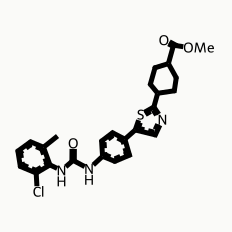 COC(=O)C1CCC(c2ncc(-c3ccc(NC(=O)Nc4c(C)cccc4Cl)cc3)s2)CC1